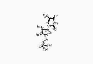 O=c1[nH]c(=O)n([C@@H]2O[C@H](COP(=O)(O)O)[C@@H](O)[C@H]2O)cc1C(F)(F)F